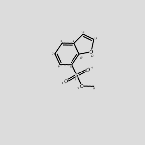 COS(=O)(=O)c1cccc2ccoc12